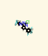 Fc1cc(C2CCc3c2nc(Cl)nc3N2CC(F)(F)C2)cc(F)c1F